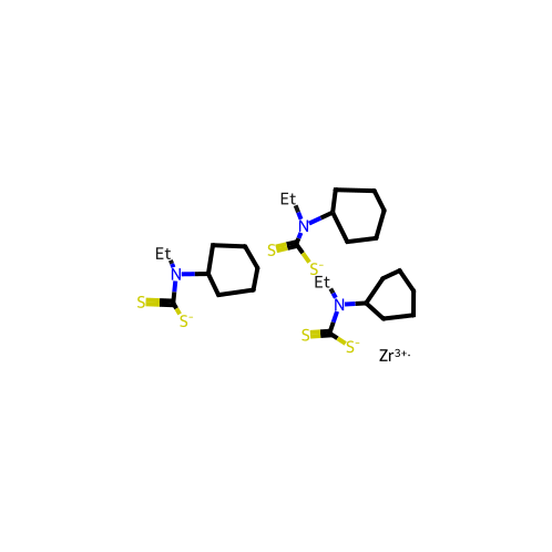 CCN(C(=S)[S-])C1CCCCC1.CCN(C(=S)[S-])C1CCCCC1.CCN(C(=S)[S-])C1CCCCC1.[Zr+3]